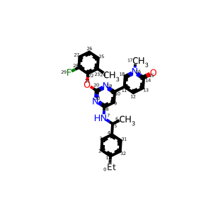 CCc1ccc(C(C)Nc2cc(-c3ccc(=O)n(C)c3)nc(Oc3c(C)cccc3F)n2)cc1